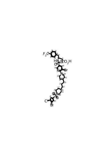 O=C(O)CC(Cc1ccc(C(F)(F)F)cc1)NS(=O)(=O)c1cnc(N2CCC(CCCC3CCN(S(=O)(=O)c4cc(Br)c(Cl)s4)CC3)CC2)c(Br)c1